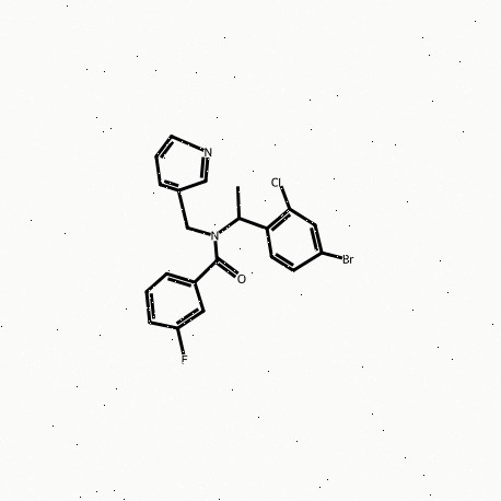 CC(c1ccc(Br)cc1Cl)N(Cc1cccnc1)C(=O)c1cccc(F)c1